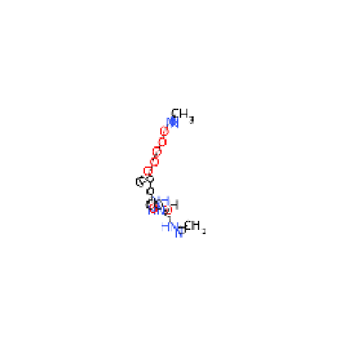 Cc1ccnc(NCCCCC(=O)NCC(=O)N[C@@H](CC(=O)O)c2ccc(-c3ccc(OCCOCCOCCOCCOCCn4cc(C)nn4)c4ccccc34)cc2)c1